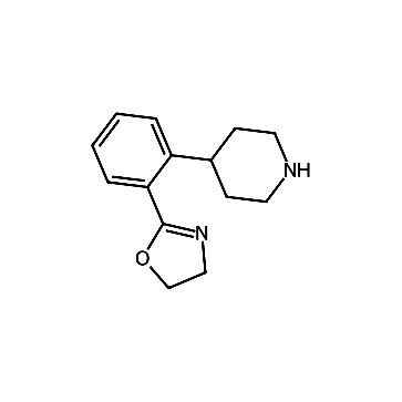 c1ccc(C2CCNCC2)c(C2=NCCO2)c1